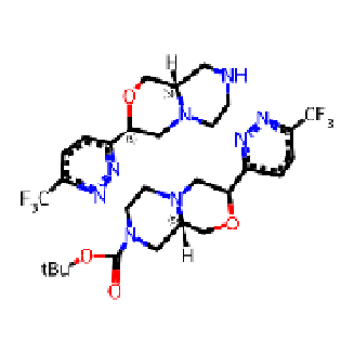 CC(C)(C)OC(=O)N1CCN2CC(c3ccc(C(F)(F)F)nn3)OC[C@@H]2C1.FC(F)(F)c1ccc([C@@H]2CN3CCNC[C@H]3CO2)nn1